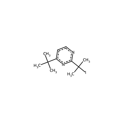 CC(C)(C)c1ccnc(C(C)(C)I)n1